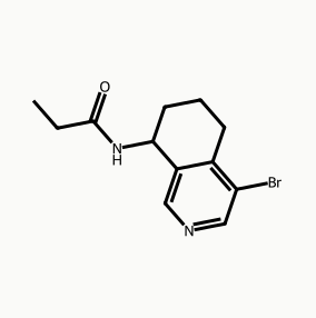 CCC(=O)NC1CCCc2c(Br)cncc21